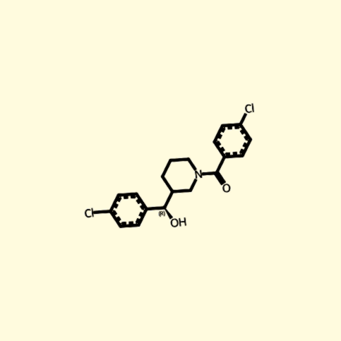 O=C(c1ccc(Cl)cc1)N1CCCC([C@@H](O)c2ccc(Cl)cc2)C1